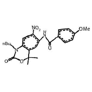 CCCCN1C(=O)OC(C)(C)c2cc(NC(=O)c3ccc(OC)cc3)c([N+](=O)[O-])cc21